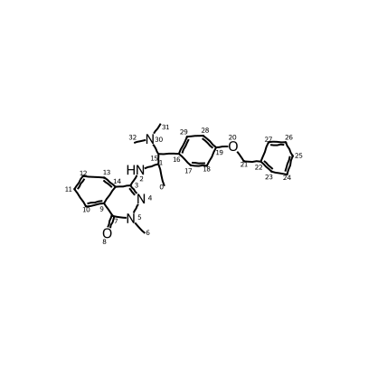 CC(Nc1nn(C)c(=O)c2ccccc12)C(c1ccc(OCc2ccccc2)cc1)N(C)C